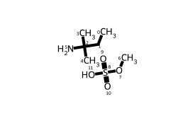 CCC(C)(C)N.COS(=O)(=O)O